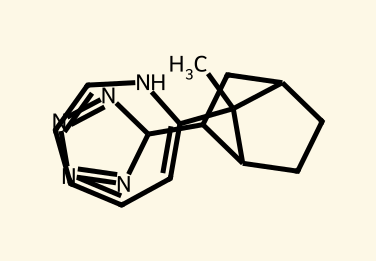 CC1(C2=CC=CC=CN2)C2CCC1C(C1N=NN=N1)C2